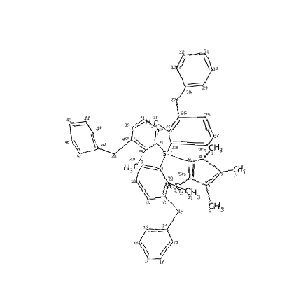 CC1=C(C)C(C)C([Si](c2cccc(Cc3ccccc3)c2C)(c2cccc(Cc3ccccc3)c2C)c2cccc(Cc3ccccc3)c2C)=C1C